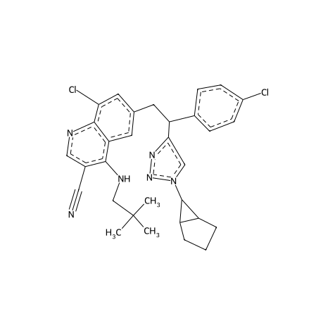 CC(C)(C)CNc1c(C#N)cnc2c(Cl)cc(CC(c3ccc(Cl)cc3)c3cn(C4C5CCCC54)nn3)cc12